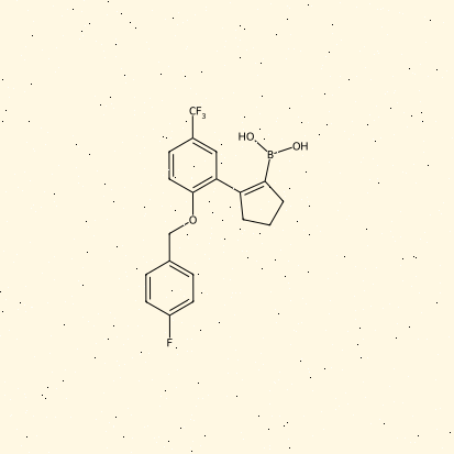 OB(O)C1=C(c2cc(C(F)(F)F)ccc2OCc2ccc(F)cc2)CCC1